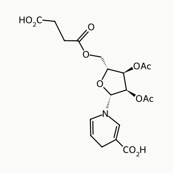 CC(=O)O[C@@H]1[C@H](OC(C)=O)[C@@H](COC(=O)CCC(=O)O)O[C@H]1N1C=CCC(C(=O)O)=C1